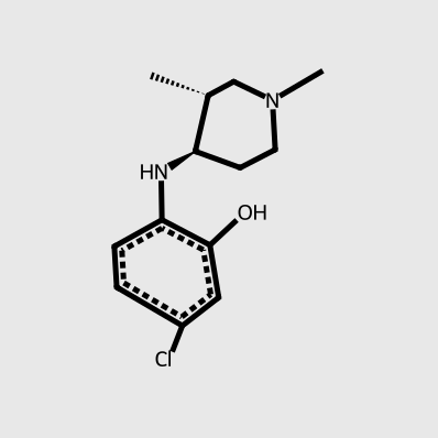 C[C@@H]1CN(C)CC[C@H]1Nc1ccc(Cl)cc1O